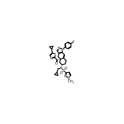 Cn1ccc(S(=O)(=O)N(CC2CC2)[C@H]2CCC3=Cc4c(cnn4-c4ccc(F)cc4)C[C@]3(C(=O)c3ncc(C4CC4)s3)C2)n1